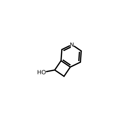 OC1Cc2ccncc21